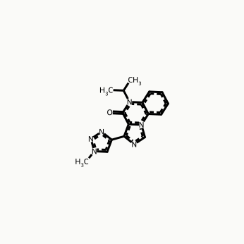 CC(C)n1c(=O)c2c(-c3cn(C)nn3)ncn2c2ccccc21